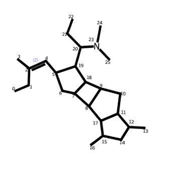 CC/C(C)=C\C1CC2C3C(CC4C(C)CC(C)C43)C2C1C(CC)N(C)C